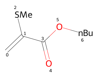 C=C(SC)C(=O)OCCCC